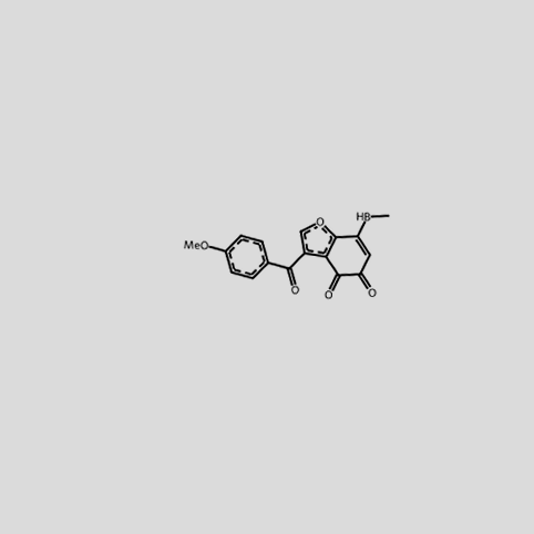 CBC1=CC(=O)C(=O)c2c(C(=O)c3ccc(OC)cc3)coc21